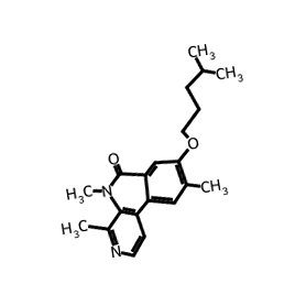 Cc1cc2c(cc1OCCCC(C)C)c(=O)n(C)c1c(C)nccc21